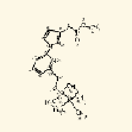 COC(=O)Cc1ccn(-c2cccc(CO[Si](C)(C)C(C)(C)C)n2)n1